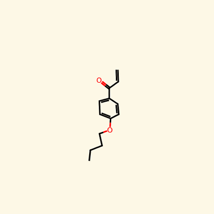 C=CC(=O)c1ccc(OCCCC)cc1